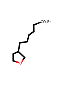 CCOC(=O)CCCCCC1CCOC1